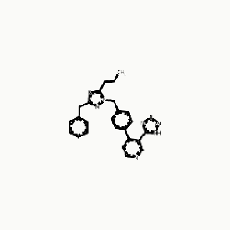 CCCc1nc(Cc2ccccc2)nn1Cc1ccc(-c2ccncc2-c2nnn[nH]2)cc1